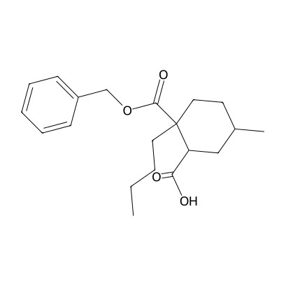 CCCCC1(C(=O)OCc2ccccc2)CCC(C)CC1C(=O)O